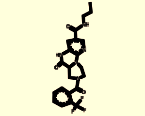 CCCNC(=O)c1cnc2c(c1)NC(=O)C1CN(C(=O)c3ccccc3C(F)(F)F)CCN21